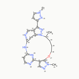 CCn1ccc(-c2nn3c4cc(ncc24)Nc2ccnc(n2)-c2cnn(C)c2OCCCC3C)n1